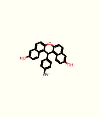 CCCc1ccc(C2c3c(ccc4cc(O)ccc34)Oc3ccc4cc(O)ccc4c32)cc1